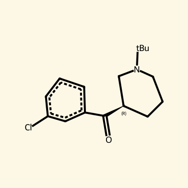 CC(C)(C)N1CCC[C@@H](C(=O)c2cccc(Cl)c2)C1